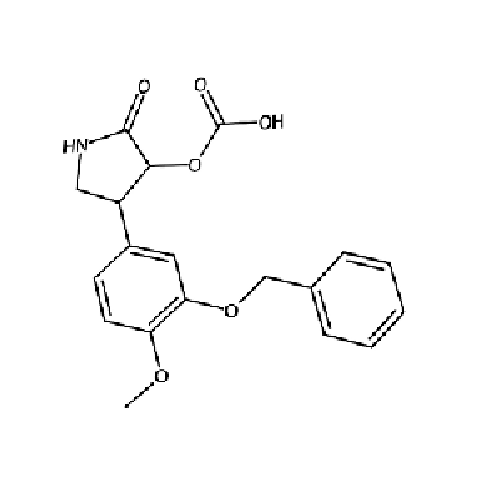 COc1ccc(C2CNC(=O)C2OC(=O)O)cc1OCc1ccccc1